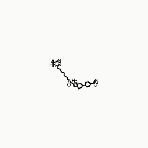 N#CC1(NC(=O)CCCCCCCNC(=O)c2cc3ccc(-c4ccc(-c5cnco5)cc4)cc3o2)CC1